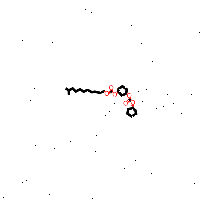 CC(C)CCCCCCCCCOC(=O)OC1CCCC(OC(=O)OC2CCCCC2)C1